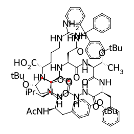 CC(=O)N[C@H](Cc1ccc(OC(C)(C)C)cc1)C(=O)N1C[C@H](OC(C)(C)C)C[C@H]1C(=O)N[C@@H](CC(=O)NC(c1ccccc1)(c1ccccc1)c1ccccc1)C(=O)N[C@H](C(=O)N[C@@H](Cc1ccccc1)C(=O)NNC(=O)N[C@@H](CC(C)C)C(=O)N[C@@H](CCCNC(=N)N)C(=O)O)[C@@H](C)OC(C)(C)C